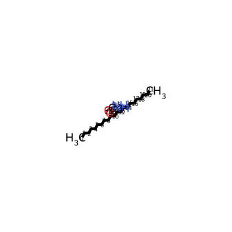 CCCCCCCCCCCCCCCCCCCCCC.N=C=O.N=C=O